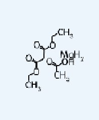 CC(=O)O.CCOC(=O)CC(=O)OCC.[MgH2]